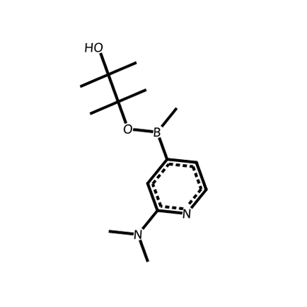 CB(OC(C)(C)C(C)(C)O)c1ccnc(N(C)C)c1